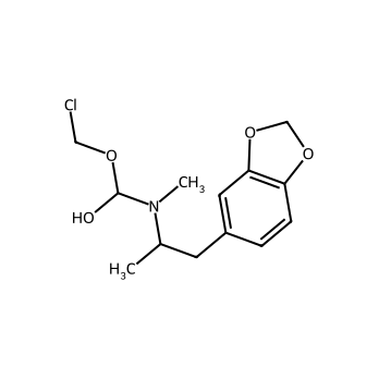 CC(Cc1ccc2c(c1)OCO2)N(C)C(O)OCCl